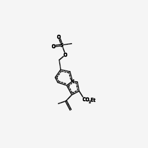 C=C(C)c1c(C(=O)OCC)cn2cc(COS(C)(=O)=O)ccc12